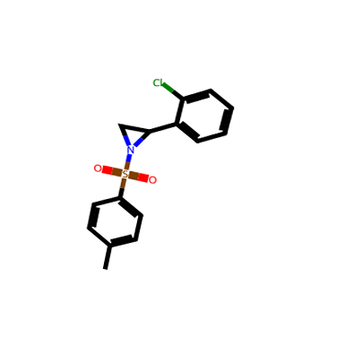 Cc1ccc(S(=O)(=O)N2CC2c2ccccc2Cl)cc1